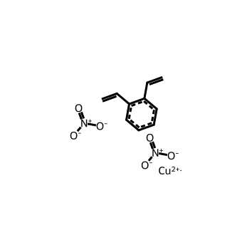 C=Cc1ccccc1C=C.O=[N+]([O-])[O-].O=[N+]([O-])[O-].[Cu+2]